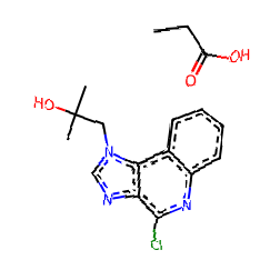 CC(C)(O)Cn1cnc2c(Cl)nc3ccccc3c21.CCC(=O)O